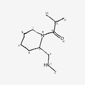 CNCC1CCCCN1C(=O)C(C)C